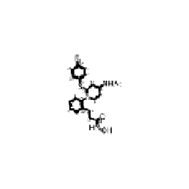 CC(=O)NC1CCN(c2ccccc2/C=C/C(=O)NO)C(Sc2ccc(F)cc2)C1